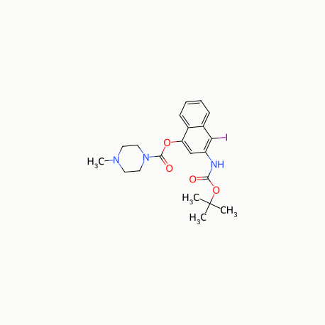 CN1CCN(C(=O)Oc2cc(NC(=O)OC(C)(C)C)c(I)c3ccccc23)CC1